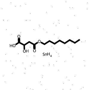 CCCCCCCCOC(=O)CC(O)C(=O)O.[SnH4]